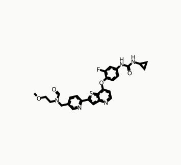 COCCN(C=O)Cc1ccc(-c2cc3nccc(Oc4ccc(NC(=O)NC5CC5)cc4F)c3s2)nc1